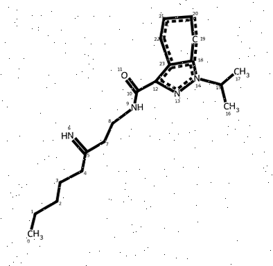 CCCCCC(=N)CCNC(=O)c1nn(C(C)C)c2ccccc12